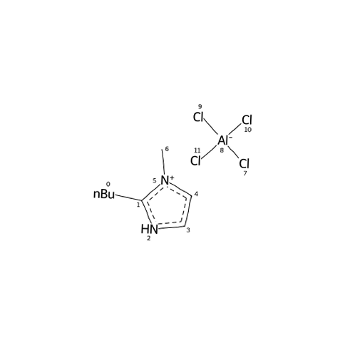 CCCCc1[nH]cc[n+]1C.[Cl][Al-]([Cl])([Cl])[Cl]